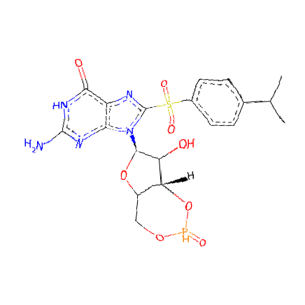 CC(C)c1ccc(S(=O)(=O)c2nc3c(=O)[nH]c(N)nc3n2[C@@H]2OC3CO[PH](=O)O[C@H]3C2O)cc1